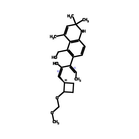 C/C=C(\C(O)=C/[C@H]1CCC1OCOC)c1ccc2c(c1CO)C(C)=CC(C)(C)N2